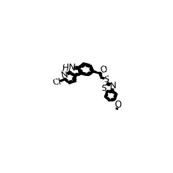 COc1ccc2sc(SCC(=O)c3ccc4[nH]c5nc(Cl)ccc5c4c3)nc2c1